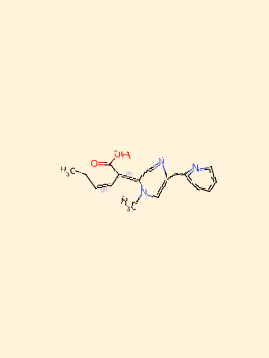 CC/C=C\C(C(=O)O)=C1\C=NC(c2ccccn2)=CN1C